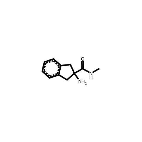 CNC(=O)C1(N)Cc2ccccc2C1